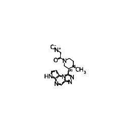 [C-]#[N+]CC(=O)N1CC[C@@H](C)[C@@H](c2nnc3cnc4[nH]ccc4n23)C1